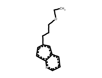 CCOCCCc1ccc2ncccc2c1